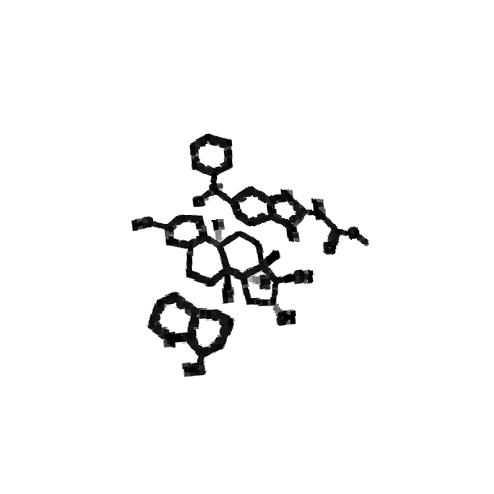 COC(=O)Nc1nc2cc([S+]([O-])c3ccccc3)ccc2[nH]1.C[C@]12CC[C@@H]3c4ccc(O)cc4CC[C@H]3[C@@H]1C[C@@H](O)[C@@H]2O.Oc1cccc2cccnc12